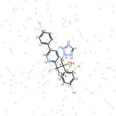 CC(F)(c1ccc(-c2ccc(F)cc2)cn1)C(O)(Cn1ncnn1)c1ccc(F)cc1F